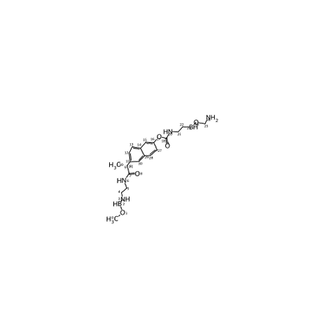 COBNCCNC(=O)[C@H](C)c1ccc2cc(OC(=O)NCCBOCN)ccc2c1